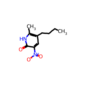 CCCCc1cc([N+](=O)[O-])c(=O)[nH]c1C